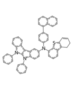 C1=Cc2sc3c(N(c4ccc(-c5cccc6ccccc56)cc4)c4ccc5c(c4)c4c6ccccc6n(-c6ccccc6)c4n5-c4ccccc4)cccc3c2CC1